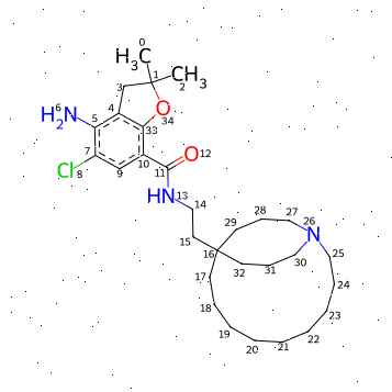 CC1(C)Cc2c(N)c(Cl)cc(C(=O)NCCC34CCCCCCCCCN(CCC3)CCC4)c2O1